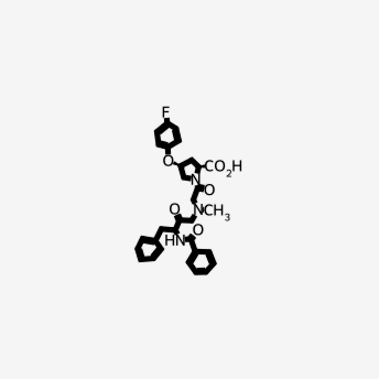 CN(CC(=O)C(Cc1ccccc1)NC(=O)c1ccccc1)CC(=O)N1C[C@@H](Oc2ccc(F)cc2)C[C@H]1C(=O)O